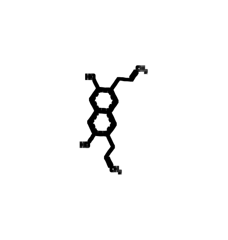 C=CCc1cc2cc(CC=C)c(O)cc2cc1O